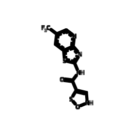 O=C(Nc1nc2ncc(C(F)(F)F)cc2s1)C1=CNOS1